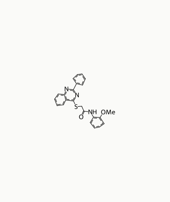 COc1ccccc1NC(=O)CSc1nc(-c2ccccc2)nc2ccccc12